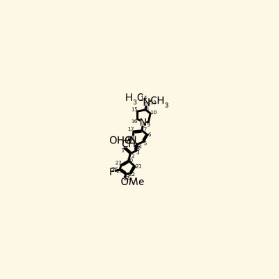 C/C=C(\C=C1\C=CC(N2CCC(N(C)C)CC2)=CN1C=O)c1ccc(OC)c(F)c1